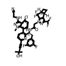 Cn1nc(NCC#N)c2c(Cl)ccc(-c3ccc(C#CC(C)(C)O)nc3[C@H](Cc3cc(F)cc(F)c3)NC(=O)Cn3nc(C(F)F)c4c3C(F)(F)[C@@H]3CC[C@H]43)c21